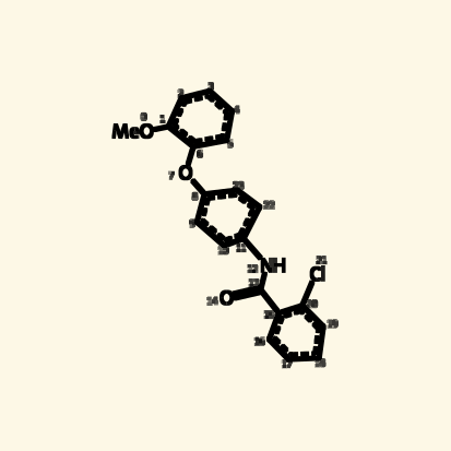 COc1ccccc1Oc1ccc(NC(=O)c2ccccc2Cl)cc1